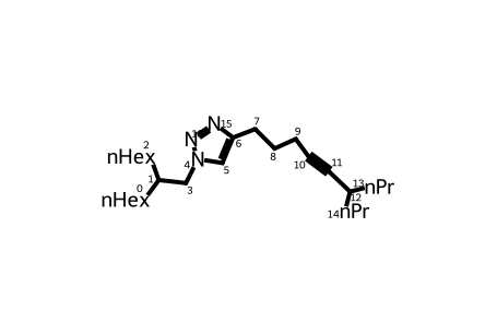 CCCCCCC(CCCCCC)Cn1cc(CCCC#CC(CCC)CCC)nn1